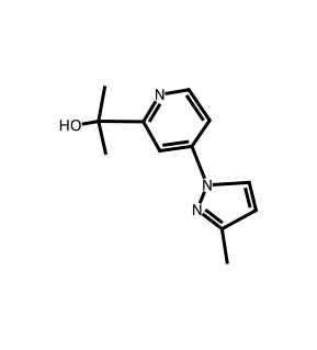 Cc1ccn(-c2ccnc(C(C)(C)O)c2)n1